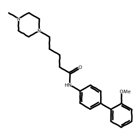 COc1ccccc1-c1ccc(NC(=O)CCCCN2CCN(C)CC2)cc1